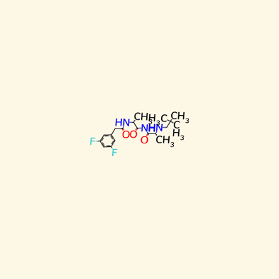 C[C@H](NCC(C)(C)C)C(=O)NC(=O)[C@H](C)NC(=O)Cc1cc(F)cc(F)c1